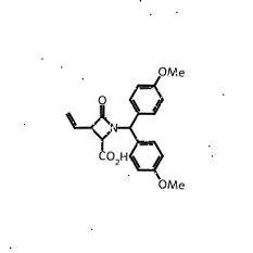 C=CC1C(=O)N(C(c2ccc(OC)cc2)c2ccc(OC)cc2)C1C(=O)O